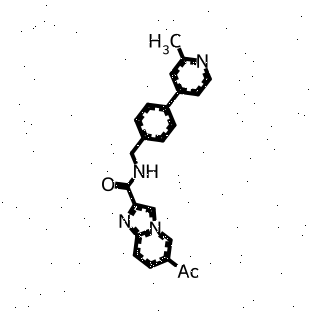 CC(=O)c1ccc2nc(C(=O)NCc3ccc(-c4ccnc(C)c4)cc3)cn2c1